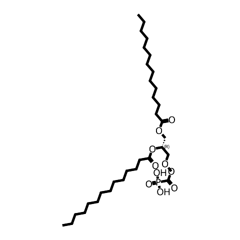 CCCCCCCCCCCCCC(=O)OC[C@H](COOC(=O)P(=O)(O)O)OC(=O)CCCCCCCCCCCCC